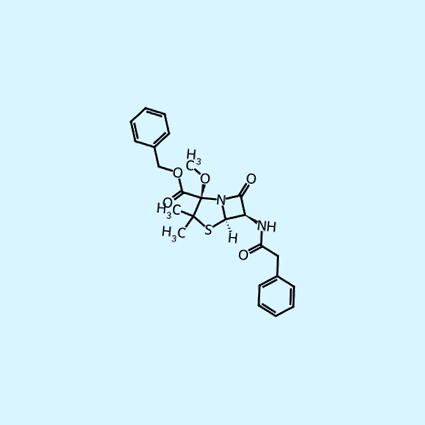 CO[C@@]1(C(=O)OCc2ccccc2)N2C(=O)[C@@H](NC(=O)Cc3ccccc3)[C@H]2SC1(C)C